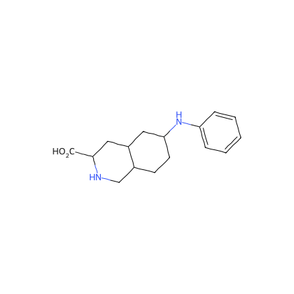 O=C(O)C1CC2CC(Nc3ccccc3)CCC2CN1